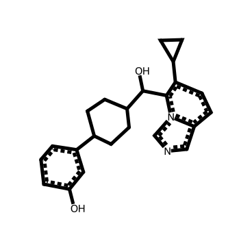 Oc1cccc(C2CCC(C(O)c3c(C4CC4)ccc4cncn34)CC2)c1